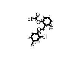 CCC(=O)Oc1cccc(F)c1COc1ccc(C)cc1Cl